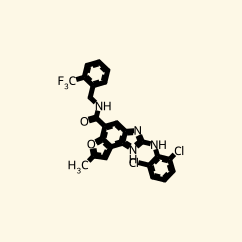 Cc1cc2c(o1)c(C(=O)NCc1ccccc1C(F)(F)F)cc1nc(Nc3c(Cl)cccc3Cl)[nH]c12